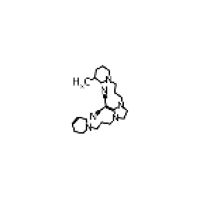 CC1CCCN(CCCN2CCN(CCCN3CC=CCC3)C2=C(C#N)C#N)C1